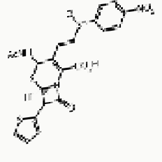 CC(=O)NC1S[C@@H]2C(c3cccs3)C(=O)N2C(C(=O)O)=C1C=C[S+]([O-])c1ccc([N+](=O)[O-])cc1